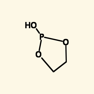 OP1OCCO1